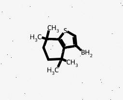 Bc1csc2c1C(C)(C)CCC2(C)C